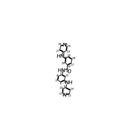 O=C(Nc1cccc(Nc2ccncc2)c1)c1cccc(Nc2ccncc2)c1